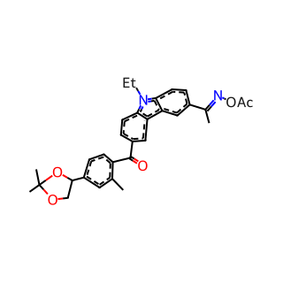 CCn1c2ccc(C(=O)c3ccc(C4COC(C)(C)O4)cc3C)cc2c2cc(/C(C)=N/OC(C)=O)ccc21